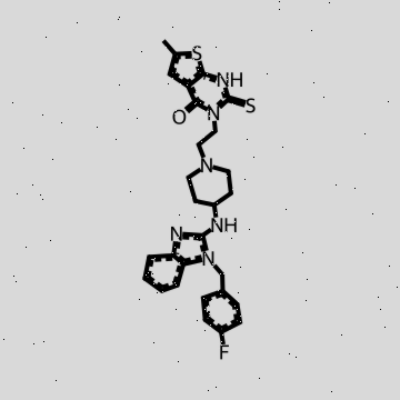 Cc1cc2c(=O)n(CCN3CCC(Nc4nc5ccccc5n4Cc4ccc(F)cc4)CC3)c(=S)[nH]c2s1